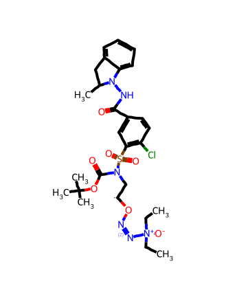 CC[N+]([O-])(CC)/N=N\O[CH]CN(C(=O)OC(C)(C)C)S(=O)(=O)c1cc(C(=O)NN2c3ccccc3CC2C)ccc1Cl